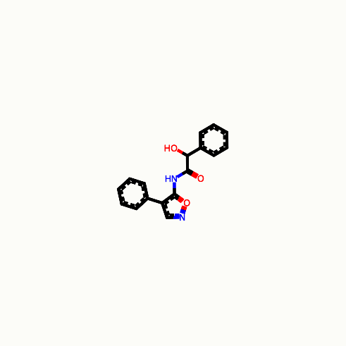 O=C(Nc1oncc1-c1ccccc1)C(O)c1ccccc1